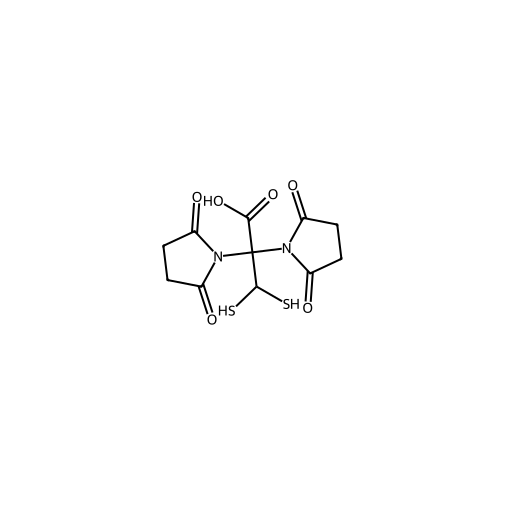 O=C1CCC(=O)N1C(C(=O)O)(C(S)S)N1C(=O)CCC1=O